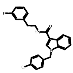 O=C(NCCc1cccc(F)c1)c1cn(Cc2ccc(Cl)cc2)c2ccccc12